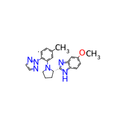 COc1ccc2[nH]c([C@@H]3CCCN3c3cc(C)c[c]c3-n3nccn3)nc2c1